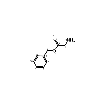 N[CH]C(=O)OCc1ccccc1